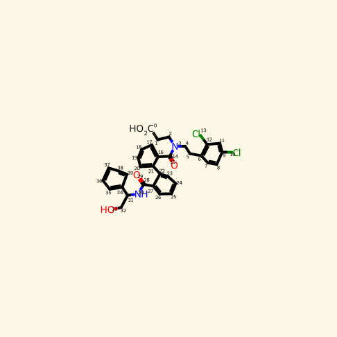 O=C(O)CCN(CCc1ccc(Cl)cc1Cl)C(=O)c1ccccc1-c1ccccc1C(=O)NC(CO)c1ccccc1